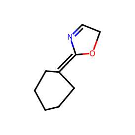 C1=NC(=C2CCCCC2)OC1